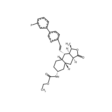 CCOC(=O)N[C@@H]1CC[C@H]2[C@@H](C1)C[C@@H]1C(=O)O[C@H](C)[C@@H]1[C@H]2/C=C/c1ccc(-c2cccc(F)c2)cn1